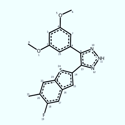 COc1cc(OC)cc(-c2n[nH]nc2-c2cc3cc(F)c(C)cc3s2)c1